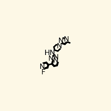 Cc1cc(N2CCC(Nc3nc4c(-c5ccnc(F)c5)cccn4n3)CC2)ncn1